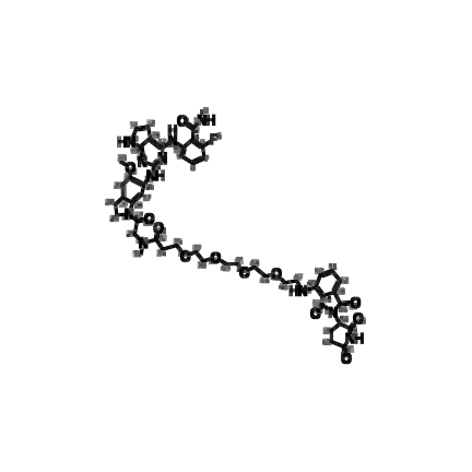 CNC(=O)c1c(F)cccc1Nc1nc(Nc2cc3c(cc2OC)CCN3C(=O)CN(C)C(=O)CCOCCOCCOCCOCCNc2cccc3c2C(=O)N(C2CCC(=O)NC2=O)C3=O)nc2[nH]ccc12